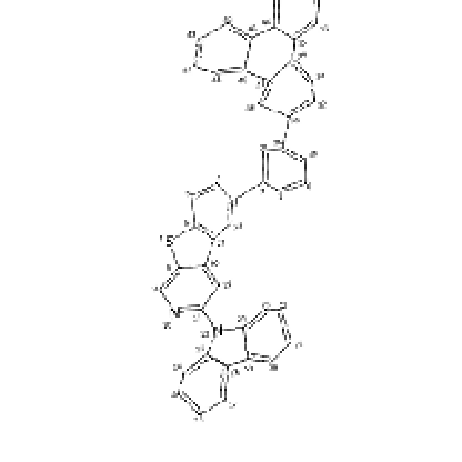 c1cc(-c2ccc3sc4cnc(-n5c6ccccc6c6ccccc65)cc4c3c2)cc(-c2ccc3c4ccccc4c4ccccc4c3c2)c1